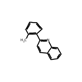 Cc1[c]cccc1-c1ccc2ccccc2n1